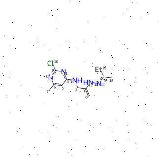 C=C(CNc1cc(C)nc(Cl)n1)N/N=C(/C)CC